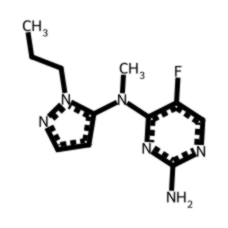 CCCn1nccc1N(C)c1nc(N)ncc1F